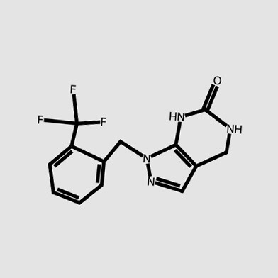 O=C1NCc2cnn(Cc3ccccc3C(F)(F)F)c2N1